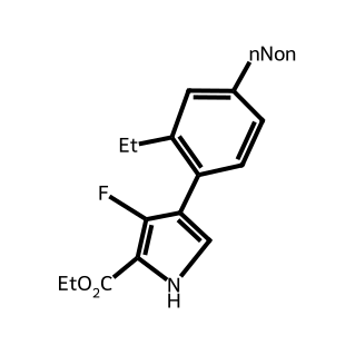 CCCCCCCCCc1ccc(-c2c[nH]c(C(=O)OCC)c2F)c(CC)c1